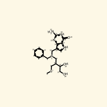 CSCC(CN(Cc1ccccc1)Cc1c[nH]c2c(=O)[nH]c(N)nc12)C(O)CO